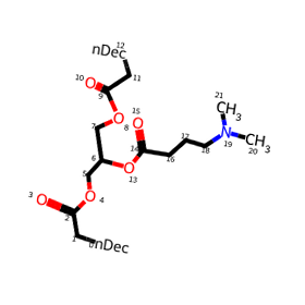 CCCCCCCCCCCC(=O)OCC(COC(=O)CCCCCCCCCCC)OC(=O)CCCN(C)C